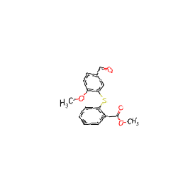 COC(=O)c1ccccc1Sc1cc(C=O)ccc1OC